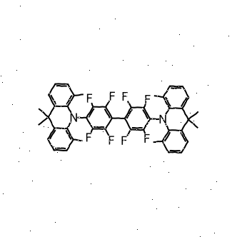 Cc1cccc2c1N(c1c(F)c(F)c(-c3c(F)c(F)c(N4c5c(C)cccc5C(C)(C)c5cccc(C)c54)c(F)c3F)c(F)c1F)c1c(C)cccc1C2(C)C